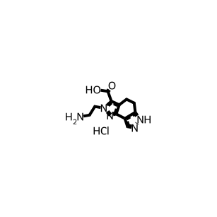 Cl.NCCn1nc2c(c1C(=O)O)CCc1[nH]ncc1-2